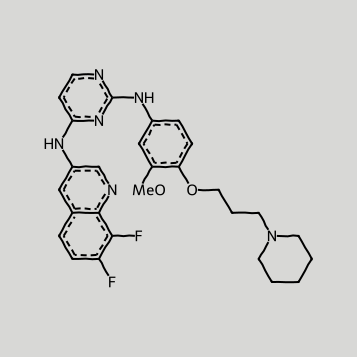 COc1cc(Nc2nccc(Nc3cnc4c(F)c(F)ccc4c3)n2)ccc1OCCCN1CCCCC1